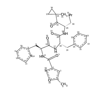 Cc1cc(C(=O)N[C@@H](Cc2ccccn2)C(=O)N[C@@H](Cc2ccccc2)C(=O)N[C@@H](CC(C)C)C(=O)C2(C)CC2)no1